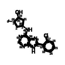 [CH2][C@H]1C[C@@H](Nc2ncnc3[nH]c(-c4ccccc4Cl)nc23)C[C@@H]1O